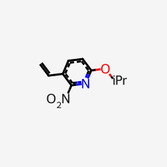 C=Cc1ccc(OC(C)C)nc1[N+](=O)[O-]